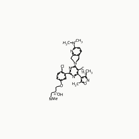 CNC[C@@H](O)COc1ccc(Cl)c(-c2nc(-c3c(C)noc3C)c(C)c(N3Cc4ccc(N(C)C)nc4C3)n2)c1